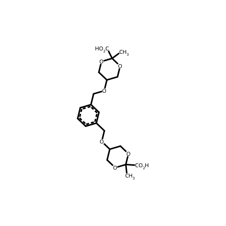 CC1(C(=O)O)OCC(OCc2cccc(COC3COC(C)(C(=O)O)OC3)c2)CO1